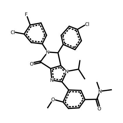 COc1ccc(C(=O)N(C)C)cc1-c1nc2c(n1C(C)C)C(c1ccc(Cl)cc1)N(c1ccc(F)c(Cl)c1)C2=O